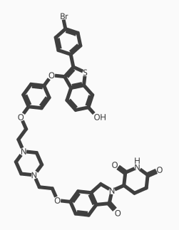 O=C1CCC(N2Cc3cc(OCCN4CCN(CCOc5ccc(Oc6c(-c7ccc(Br)cc7)sc7cc(O)ccc67)cc5)CC4)ccc3C2=O)C(=O)N1